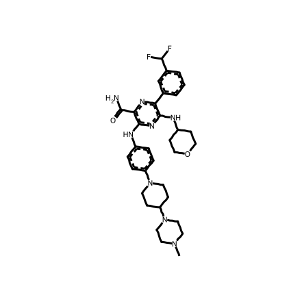 CN1CCN(C2CCN(c3ccc(Nc4nc(NC5CCOCC5)c(-c5cccc(C(F)F)c5)nc4C(N)=O)cc3)CC2)CC1